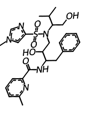 Cc1cccc(C(=O)NC(Cc2ccccc2)C(O)CN(C(CO)C(C)C)S(=O)(=O)c2cn(C)cn2)n1